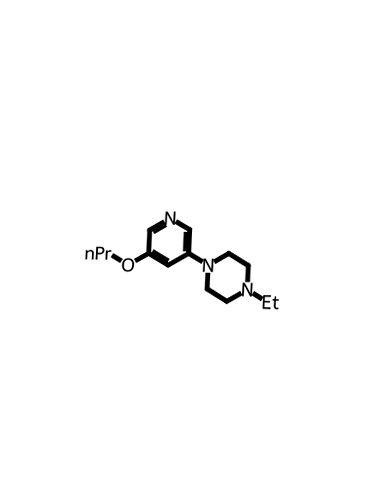 CCCOc1cncc(N2CCN(CC)CC2)c1